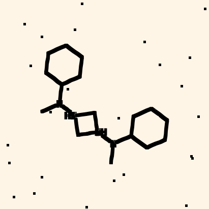 CN(C1CCCCC1)[SiH]1C[SiH](N(C)C2CCCCC2)C1